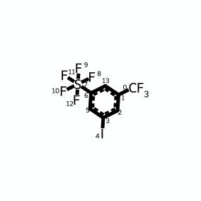 FC(F)(F)c1cc(I)cc(S(F)(F)(F)(F)F)c1